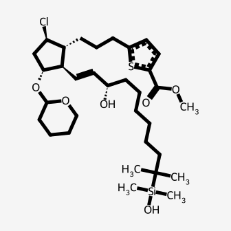 COC(=O)c1ccc(CCC[C@@H]2[C@@H](/C=C/[C@@H](O)CCCCCCC(C)(C)[Si](C)(C)O)[C@H](OC3CCCCO3)C[C@H]2Cl)s1